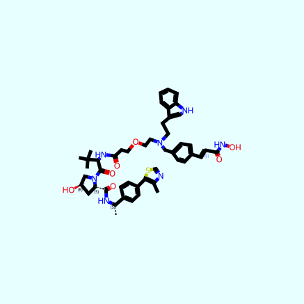 Cc1ncsc1-c1ccc([C@H](C)NC(=O)[C@@H]2C[C@@H](O)CN2C(=O)C(NC(=O)CCOCCN(CCc2c[nH]c3ccccc23)Cc2ccc(/C=C/C(=O)NO)cc2)C(C)(C)C)cc1